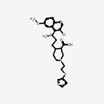 COc1ccc2ncc(Cl)c([C@H](N)CCC3CCN(CCSc4ccsc4)CC3C(=O)O)c2c1